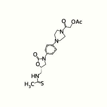 CC(=O)OCC(=O)N1CCN(c2ccc(N3C[C@H](CNC(C)=S)OC3=O)cc2)CC1